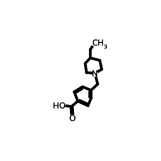 CCC1CCN(Cc2ccc(C(=O)O)cc2)CC1